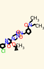 CCCN(CCC)C(=O)c1cccc(CNS(=O)(=O)N2CCN(c3cnn(-c4cccc(Cl)c4)c(=O)c3OCC3(C)CC3)CC2)c1